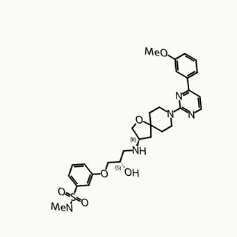 CNS(=O)(=O)c1cccc(OC[C@@H](O)CN[C@H]2COC3(CCN(c4nccc(-c5cccc(OC)c5)n4)CC3)C2)c1